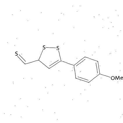 COc1ccc(C2=CC(C=S)SS2)cc1